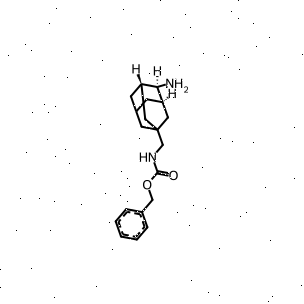 N[C@H]1[C@@H]2CC3C[C@H]1CC(CNC(=O)OCc1ccccc1)(C3)C2